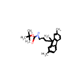 Cc1ccc2c(c1)C(C)(CCCNC(=O)OC(C)(C)C)c1cc(C)ccc1-2